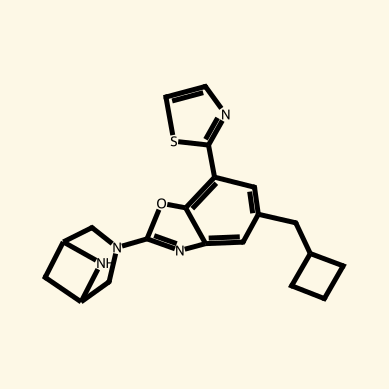 c1csc(-c2cc(CC3CCC3)cc3nc(N4CC5CC(C4)N5)oc23)n1